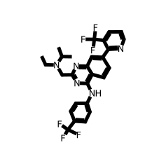 CCN(Cc1nc(Nc2ccc(C(F)(F)F)cc2)c2ccc(-c3ncccc3C(F)(F)F)cc2n1)C(C)C